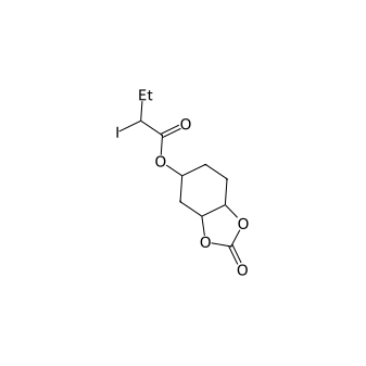 CCC(I)C(=O)OC1CCC2OC(=O)OC2C1